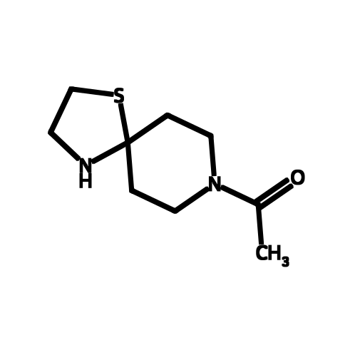 CC(=O)N1CCC2(CC1)NCCS2